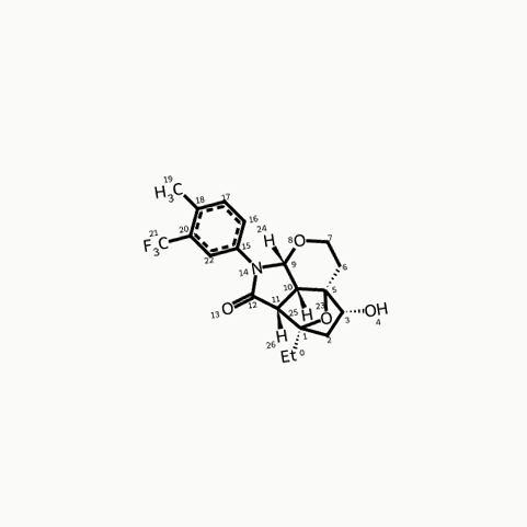 CC[C@]12C[C@@H](O)[C@@]3(CCO[C@@H]4[C@H]3[C@H]1C(=O)N4c1ccc(C)c(C(F)(F)F)c1)O2